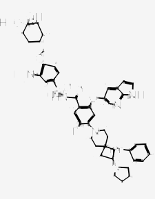 CC(C)c1ccccc1[C@@H]1CCCN1C1CC2(CCN(c3cc(Oc4cnc5[nH]ccc5c4)c(C(=O)NS(=O)(=O)c4ccc(OC[C@H]5CC[C@](C)(O)CC5)c(N)c4)cc3F)CC2)C1